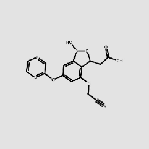 N#CCOc1cc(Oc2cnccn2)cc2c1C(CC(=O)O)OB2O